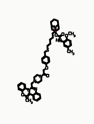 CCOc1ccccc1-n1c(CN2CCN(C(=O)COc3ccc(CSCCCCCCN4C5CCCC4CC(OC(=O)Nc4cc(C)ccc4OC)C5)cc3)CC2)nc2ccccc2c1=O